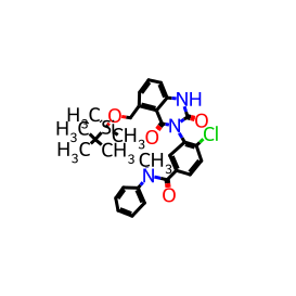 CN(C(=O)c1ccc(Cl)c(-n2c(=O)[nH]c3cccc(CO[Si](C)(C)C(C)(C)C)c3c2=O)c1)c1ccccc1